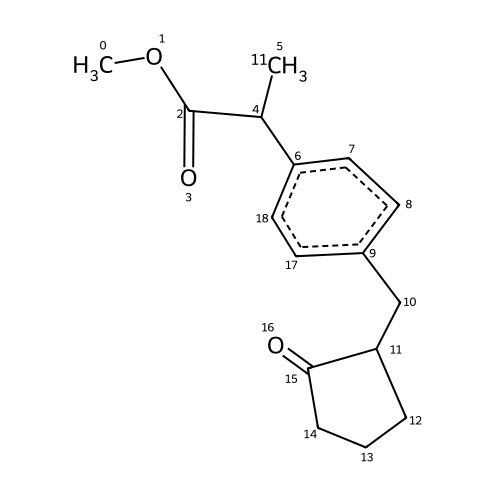 COC(=O)C([11CH3])c1ccc(CC2CCCC2=O)cc1